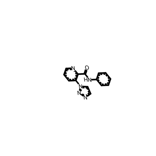 O=C(Nc1ccccc1)c1ncccc1-n1ccnn1